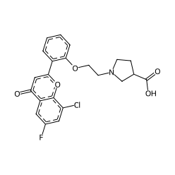 O=C(O)C1CCN(CCOc2ccccc2-c2cc(=O)c3cc(F)cc(Cl)c3o2)C1